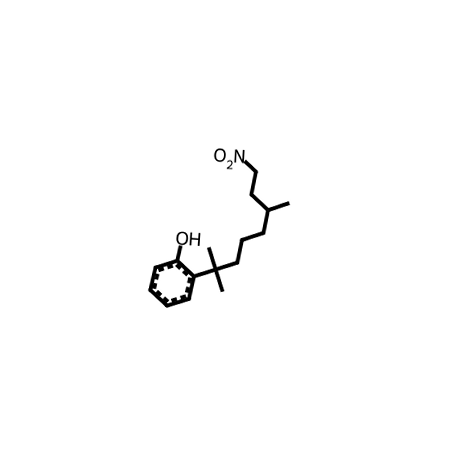 CC(CCCC(C)(C)c1ccccc1O)CC[N+](=O)[O-]